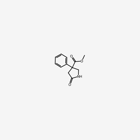 COC(=O)C1(c2ccccc2)CNC(=O)C1